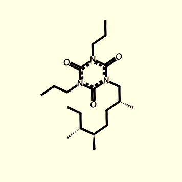 CCCn1c(=O)n(CCC)c(=O)n(C[C@H](C)CC[C@@H](C)[C@H](C)CC)c1=O